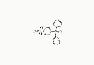 O=P(c1ccccc1)(c1ccccc1)c1ccccc1.[Cl][Ru]([Cl])[Cl]